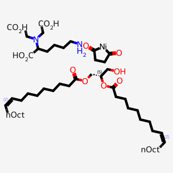 CCCCCCCC/C=C\CCCCCCCC(=O)OC[C@H](CO)OC(=O)CCCCCCC/C=C\CCCCCCCC.NCCCCC(C(=O)O)N(CC(=O)O)CC(=O)O.O=[C]1CC[C](=O)[Ni]1